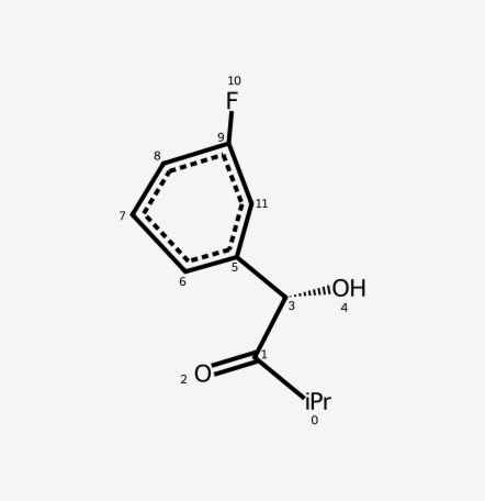 CC(C)C(=O)[C@@H](O)c1cccc(F)c1